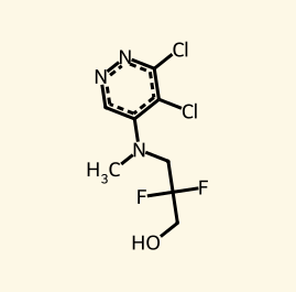 CN(CC(F)(F)CO)c1cnnc(Cl)c1Cl